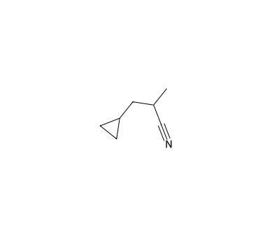 CC(C#N)CC1CC1